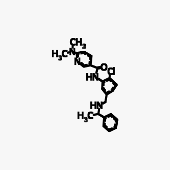 CC(NCc1ccc(Cl)c(NC(=O)c2ccc(N(C)C)nc2)c1)c1ccccc1